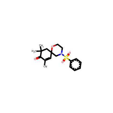 CC1(C)CC2(C=C(C#N)C1=O)CN(S(=O)(=O)c1ccccc1)CCO2